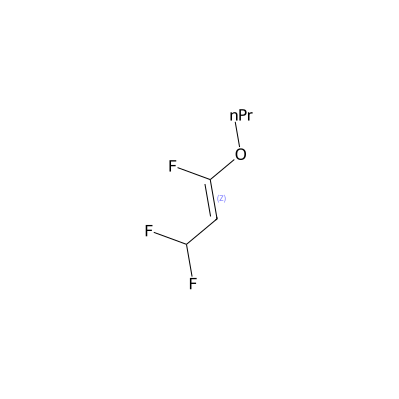 CCCO/C(F)=C/C(F)F